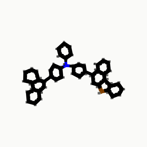 c1ccc(N(c2ccc(-c3cc4ccccc4c4ccccc34)cc2)c2ccc(-c3cc4sc5ccccc5c4c4ccccc34)cc2)cc1